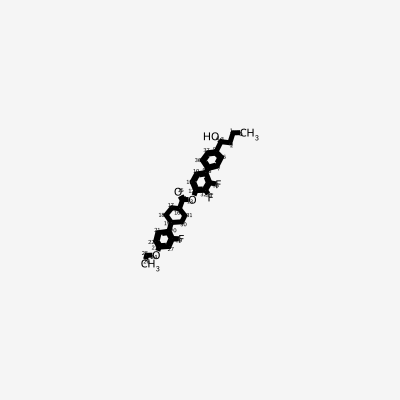 CCCC(O)c1ccc(-c2ccc(OC(=O)C3CCC(c4ccc(OCC)cc4F)CC3)c(F)c2F)cc1